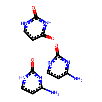 Nc1cc[nH]c(=O)n1.Nc1cc[nH]c(=O)n1.O=c1cc[nH]c(=O)[nH]1